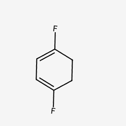 FC1=CC=C(F)CC1